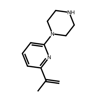 C=C(C)c1cccc(N2CCNCC2)n1